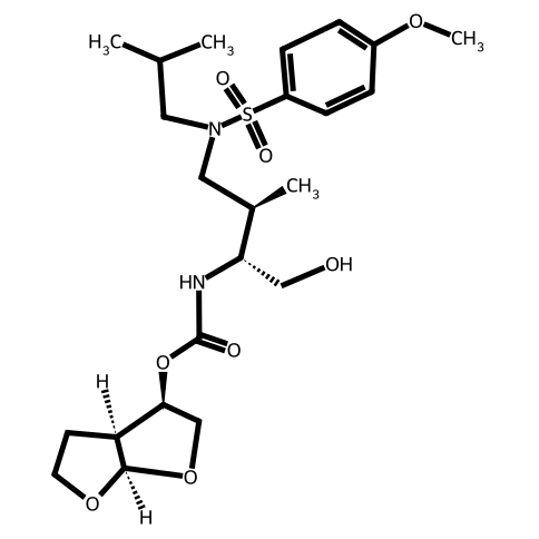 COc1ccc(S(=O)(=O)N(CC(C)C)C[C@@H](C)[C@H](CO)NC(=O)O[C@H]2CO[C@H]3OCC[C@H]32)cc1